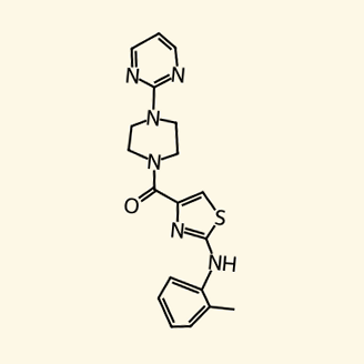 Cc1ccccc1Nc1nc(C(=O)N2CCN(c3ncccn3)CC2)cs1